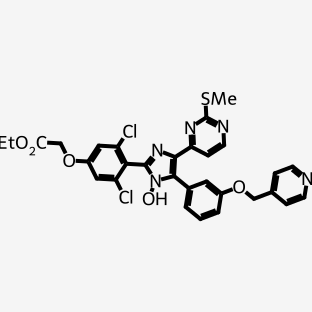 CCOC(=O)COc1cc(Cl)c(-c2nc(-c3ccnc(SC)n3)c(-c3cccc(OCc4ccncc4)c3)n2O)c(Cl)c1